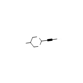 CCCC#CC1SCC(C(C)(C)C)CS1